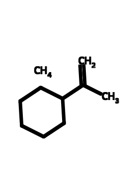 C.C=C(C)C1CCCCC1